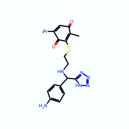 CC1=C(SCCNC(c2ccc(N)cc2)c2nnn[nH]2)C(=O)C(C(C)C)=CC1=O